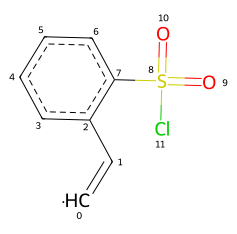 [CH]=Cc1ccccc1S(=O)(=O)Cl